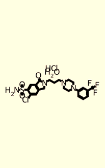 Cl.NS(=O)(=O)c1cc2c(cc1Cl)CN(CCCN1CCN(c3cccc(C(F)(F)F)c3)CC1)C2=O.O